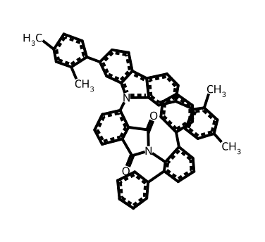 Cc1ccc(-c2ccc3c4ccc(-c5ccc(C)cc5C)cc4n(-c4cccc5c4C(=O)N(c4c(-c6ccccc6)cccc4-c4ccccc4)C5=O)c3c2)c(C)c1